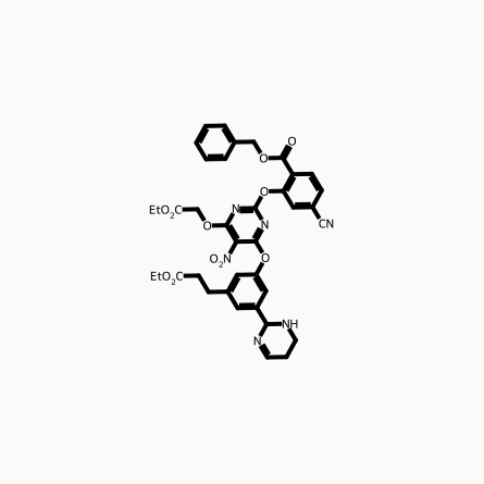 CCOC(=O)CCc1cc(Oc2nc(Oc3cc(C#N)ccc3C(=O)OCc3ccccc3)nc(OCC(=O)OCC)c2[N+](=O)[O-])cc(C2N=CCCN2)c1